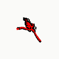 CCCCCCCCCCCCCCCCCCCCCCOc1ccc(C(NC(=O)[C@H](CCCc2cc(C)cc(C)c2)NC(=O)[C@H](Cc2ccc(-c3ccc(OCCCCN=[N+]=[N-])cc3CC)cc2)NC(=O)[C@H](CC(=O)OC(C)(C)C)NC(=O)[C@H](COC(C)(C)C)NC(=O)[C@@H](NC(=O)C(C)(N)Cc2ccccc2F)[C@@H](C)OC(C)(C)C)c2ccc(OCCCCCCCCCCCCCCCCCCCCCC)cc2)cc1